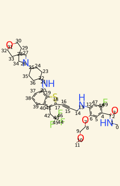 CNC(=O)c1cc(OCCOC)c(NCC#Cc2sc3c(NC4CCC(N5CC6(CCOCC6)C5)CC4)cccc3c2CC(F)(F)F)cc1F